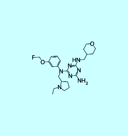 CCN1CCCC1CN(c1cccc(OCF)c1)c1nc(N)nc(NCC2CCOCC2)n1